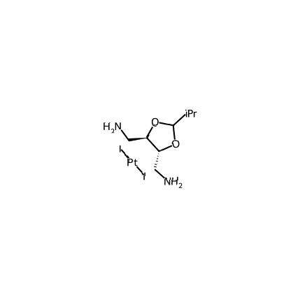 CC(C)C1O[C@H](CN)[C@@H](CN)O1.[I][Pt][I]